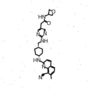 Cc1ccc2ccc(N[C@H]3CC[C@H](CNc4ncc(CC(=O)NC5COC5)cn4)CC3)nc2c1C#N